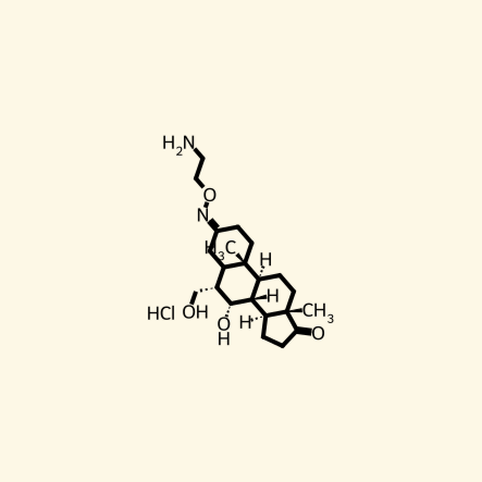 C[C@]12CCC(=NOCCN)CC1[C@@H](CO)[C@@H](O)[C@@H]1[C@@H]2CC[C@]2(C)C(=O)CC[C@@H]12.Cl